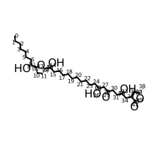 CCCCCCC[C@H](O)[C@@H]1CC[C@@H]([C@@H](O)CCCCCCCCCC[C@H](O)CC(=O)CC[C@@H](O)CC2=C[C@H](C)OC2=O)O1